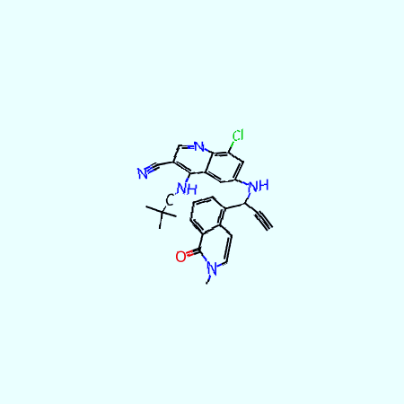 C#CC(Nc1cc(Cl)c2ncc(C#N)c(NCC(C)(C)C)c2c1)c1cccc2c(=O)n(C)ccc12